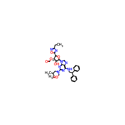 CCc1noc([C@H]2O[C@@H](n3cnc4c(NCC(c5ccccc5)c5ccccc5)nc(N(CO)CC(C)C)nc43)[C@H](O)[C@@H]2OC=O)n1